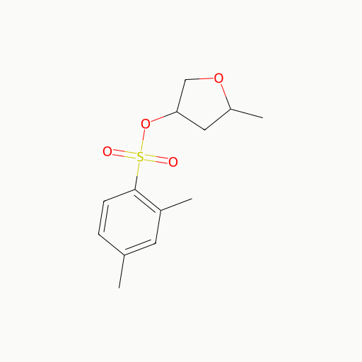 Cc1ccc(S(=O)(=O)OC2COC(C)C2)c(C)c1